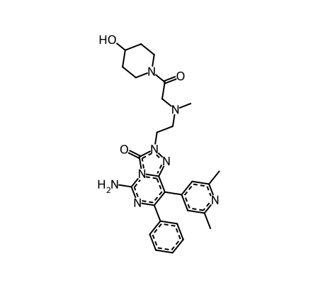 Cc1cc(-c2c(-c3ccccc3)nc(N)n3c(=O)n(CCN(C)CC(=O)N4CCC(O)CC4)nc23)cc(C)n1